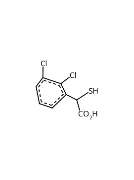 O=C(O)C(S)c1cccc(Cl)c1Cl